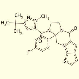 Cn1nc(C(C)(C)C)cc1C(=O)N1CCN2C(=O)c3cc4ccsc4n3CC12c1ccc(F)cc1